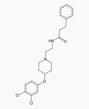 O=C(CCc1ccccc1)NCCN1CCC(Oc2ccc(Cl)c(Cl)c2)CC1